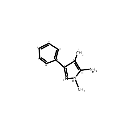 Cc1c(-c2ccccc2)nn(C)c1N